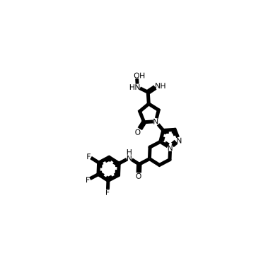 N=C(NO)C1CC(=O)N(c2cnn3c2CC(C(=O)Nc2cc(F)c(F)c(F)c2)CC3)C1